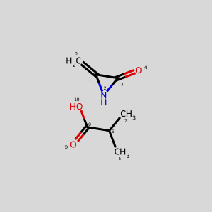 C=C1NC1=O.CC(C)C(=O)O